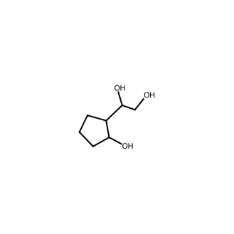 OCC(O)C1CCCC1O